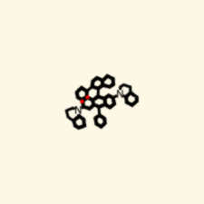 c1ccc(-c2ccc3ccccc3c2-c2c3ccc(N4CCCc5ccccc54)cc3c(-c3ccccc3)c3ccc(N4CCCc5ccccc54)cc23)cc1